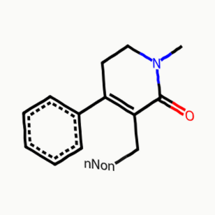 CCCCCCCCCCC1=C(c2ccccc2)CCN(C)C1=O